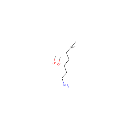 C[O-].C[O-].[CH3][Sn+2][CH2]CCCCN